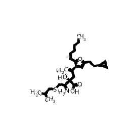 C=C(CC(O)(C(=O)O)C(N)CSCC(C)C)c1cc(CCC2CC2)oc1/C=C\CCCC